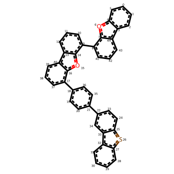 c1ccc2c(c1)oc1c(-c3cccc4c3oc3c(-c5ccc(-c6ccc7sc8ccccc8c7c6)cc5)cccc34)cccc12